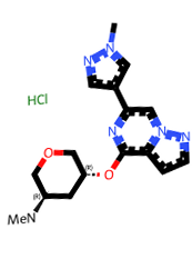 CN[C@H]1COC[C@H](Oc2nc(-c3cnn(C)c3)cn3nccc23)C1.Cl